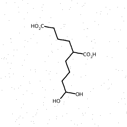 O=C(O)CCCC(CCCC(O)O)C(=O)O